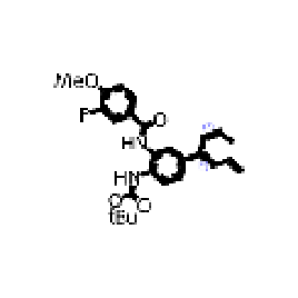 C=C/C=C(\C=C/C)c1ccc(NC(=O)OC(C)(C)C)c(NC(=O)c2ccc(OC)c(F)c2)c1